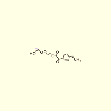 CSc1ccc(C(=O)C(=O)OCCOO/C=C\O)cc1